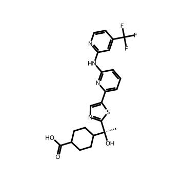 C[C@@](O)(c1ncc(-c2cccc(Nc3cc(C(F)(F)F)ccn3)n2)s1)C1CCC(C(=O)O)CC1